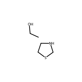 C1CSCN1.CCO